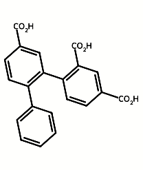 O=C(O)c1ccc(-c2cc(C(=O)O)ccc2-c2ccccc2)c(C(=O)O)c1